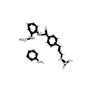 Cc1ccccc1.O=C(O)Nc1ccccc1NC(=O)c1ccc(C=CCN=S(=O)=O)cc1